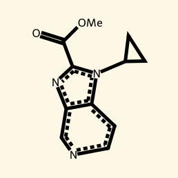 COC(=O)c1nc2cnccc2n1C1CC1